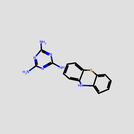 Nc1nc(N)nc(N)n1.c1ccc2c(c1)Nc1ccccc1S2